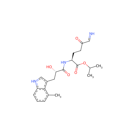 Cc1cccc2[nH]cc(C[C@H](O)C(=O)N[C@@H](CCC(=O)C=N)C(=O)OC(C)C)c12